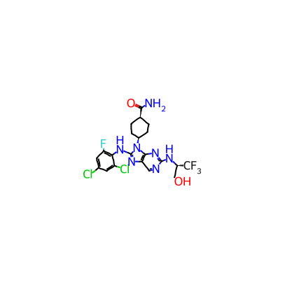 NC(=O)[C@H]1CC[C@@H](n2c(Nc3c(F)cc(Cl)cc3Cl)nc3cnc(N[C@H](CO)C(F)(F)F)nc32)CC1